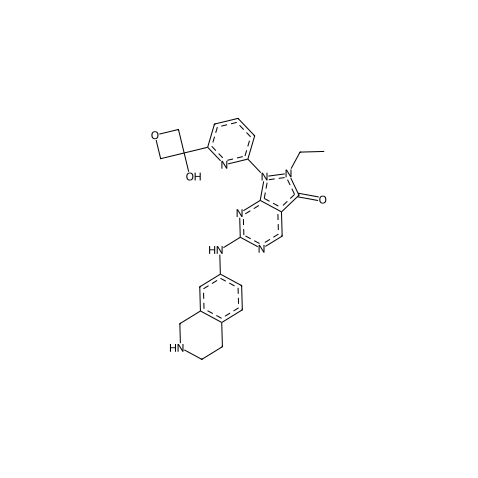 CCn1c(=O)c2cnc(Nc3ccc4c(c3)CNCC4)nc2n1-c1cccc(C2(O)COC2)n1